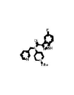 CCCCN1CCC(N(Cc2cccnc2)C(=O)c2n[nH]c3ccc(F)cc23)CC1